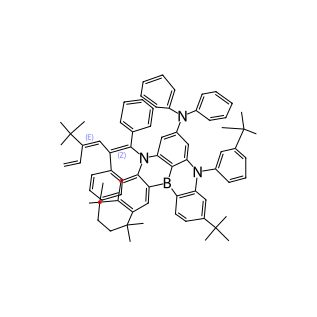 C=C/C(=C\C(=C(/c1ccccc1)N1c2cc3c(cc2B2c4ccc(C(C)(C)C)cc4N(c4cccc(C(C)(C)C)c4)c4cc(N(c5ccccc5)c5ccccc5)cc1c42)C(C)(C)CCC3(C)C)c1ccccc1)C(C)(C)C